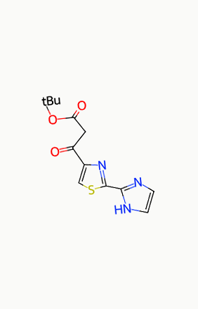 CC(C)(C)OC(=O)CC(=O)c1csc(-c2ncc[nH]2)n1